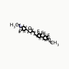 C/C=C/c1ccc(C2CCC(CCc3ccc(-c4ccc(OCC)c(F)c4F)c(F)c3F)CO2)cc1F